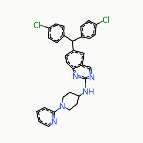 Clc1ccc(C(c2ccc(Cl)cc2)c2ccc3nc(NC4CCN(c5ccccn5)CC4)ncc3c2)cc1